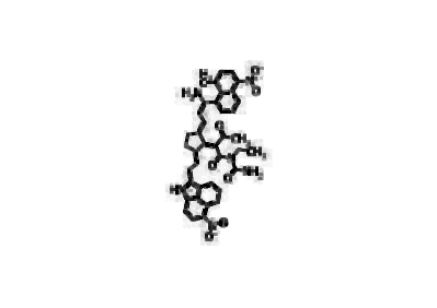 CCN(C(N)=O)C(=O)/C(C(C)=O)=C1C(=C/C=C(/N)c2cccc3c([N+](=O)[O-])ccc(C)c23)/CCC/1=C\C=c1\[nH]c2ccc([N+](=O)[O-])c3cccc1c23